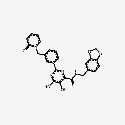 O=C(NCc1ccc2c(c1)OCO2)c1nc(-c2cccc(Cn3ccccc3=O)c2)nc(O)c1O